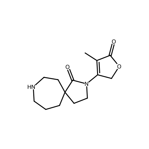 CC1=C(N2CCC3(CCCNCC3)C2=O)COC1=O